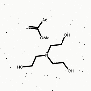 COC(=O)C(C)=O.OCCN(CCO)CCO